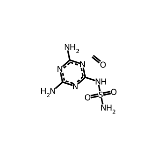 C=O.Nc1nc(N)nc(NS(N)(=O)=O)n1